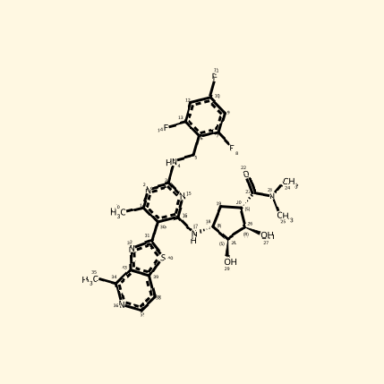 Cc1nc(NCc2c(F)cc(F)cc2F)nc(N[C@@H]2C[C@H](C(=O)N(C)C)[C@@H](O)[C@H]2O)c1-c1nc2c(C)nccc2s1